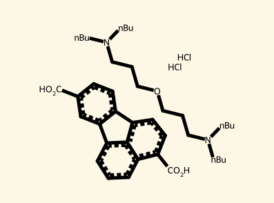 CCCCN(CCCC)CCCOCCCN(CCCC)CCCC.Cl.Cl.O=C(O)c1ccc2c(c1)-c1cccc3c(C(=O)O)ccc-2c13